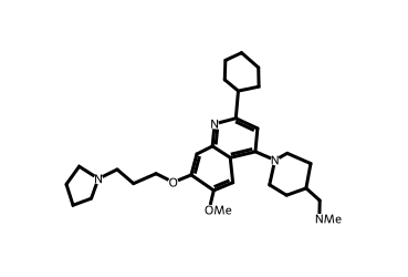 CNCC1CCN(c2cc(C3CCCCC3)nc3cc(OCCCN4CCCC4)c(OC)cc23)CC1